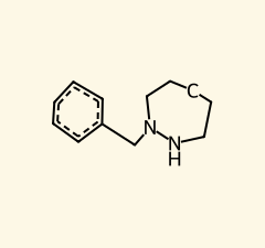 c1ccc(CN2CCCCCN2)cc1